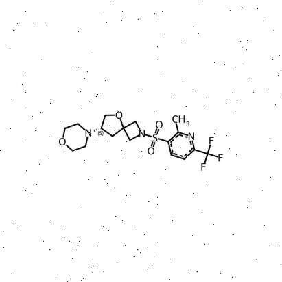 Cc1nc(C(F)(F)F)ccc1S(=O)(=O)N1CC2(C[C@H](N3CCOCC3)CO2)C1